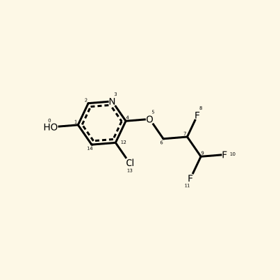 Oc1cnc(OCC(F)C(F)F)c(Cl)c1